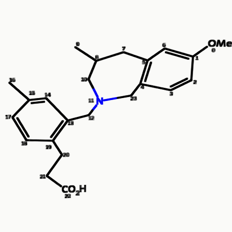 COc1ccc2c(c1)CC(C)CN(Cc1cc(C)ccc1CCC(=O)O)C2